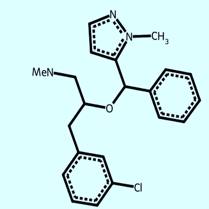 CNCC(Cc1cccc(Cl)c1)OC(c1ccccc1)c1ccnn1C